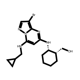 OC[C@@H]1CCCC[C@@H]1Nc1cc(NCC2CC2)n2ncc(Br)c2n1